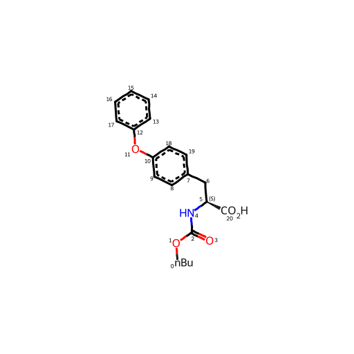 CCCCOC(=O)N[C@@H](Cc1ccc(Oc2ccccc2)cc1)C(=O)O